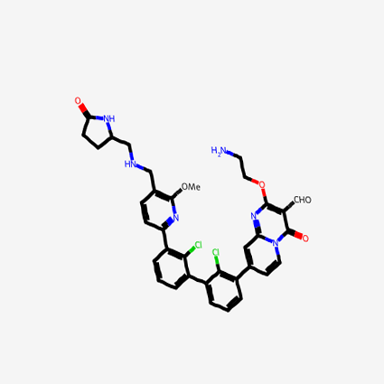 COc1nc(-c2cccc(-c3cccc(-c4ccn5c(=O)c(C=O)c(OCCN)nc5c4)c3Cl)c2Cl)ccc1CNCC1CCC(=O)N1